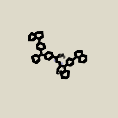 C=C/C(=C\C=C(/C)c1ccc(N(c2ccccc2)c2ccc(-c3cccc4ccccc34)cc2)cc1)N(c1ccccc1)c1ccc(-c2cccc3ccccc23)cc1